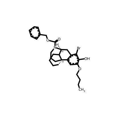 CCCCOc1cc2c(c(Br)c1O)C[C@H]1C3CCCC[C@@]23CCCN1C(=O)OCc1ccccc1